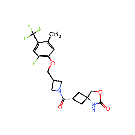 Cc1cc(OCC2CN(C(=O)[C@H]3C[C@]4(COC(=O)N4)C3)C2)c(F)cc1C(F)(F)F